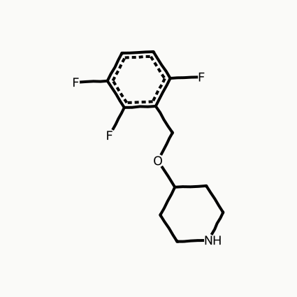 Fc1ccc(F)c(COC2CCNCC2)c1F